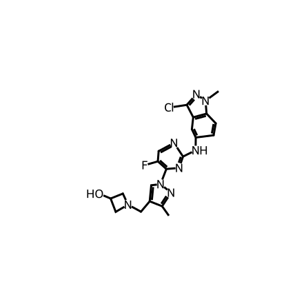 Cc1nn(-c2nc(Nc3ccc4c(c3)c(Cl)nn4C)ncc2F)cc1CN1CC(O)C1